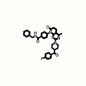 Cc1nc(N2CCC(C(=O)c3ccc(F)cc3)CC2)nc2c1ccc(=O)n2-c1ccc(C(=O)NCc2ccccc2)cc1